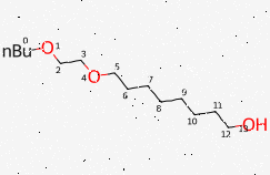 CCCCOCCOCCCCCCCCO